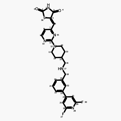 O=C1NC(=O)/C(=C/c2ccnc(N3CCC(CNCc4cccc(-c5cc(F)nc(F)c5)c4)CC3)n2)S1